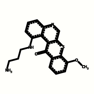 COc1cccc2c(=O)c3c(cnc4cccc(NCCCN)c43)sc12